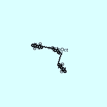 CCCCCCCCC1(CCCCCCCC)c2cc(N(C)CCCCCCCCc3ccc4c(c3)c(=O)c3cc5c(cc3n4C)c(=O)c3ccccc3n5C)c(C)cc2-c2cc(C)c(N(C)CCCCCCCCc3ccc4c(c3)c(=O)c3cc5c(cc3n4C)c(=O)c3ccccc3n5C)cc21